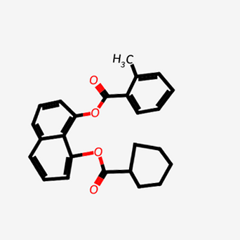 Cc1ccccc1C(=O)Oc1cccc2cccc(OC(=O)C3CCCCC3)c12